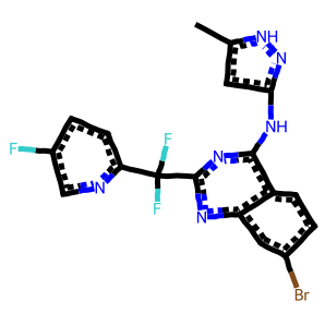 Cc1cc(Nc2nc(C(F)(F)c3ccc(F)cn3)nc3cc(Br)ccc23)n[nH]1